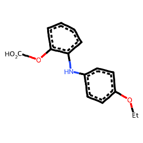 CCOc1ccc(Nc2ccccc2OC(=O)O)cc1